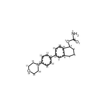 NC(=O)OC1CCCc2cc(-c3ccc(N4CCOCC4)cc3)ccc21